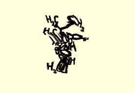 CCCC(C1CC1C)C1C(C)C(O)=C(C2=NS(=O)(=O)c3cc(NS(C)(=O)=O)ccc3N2)C(=O)N1Cc1ccc(F)cc1